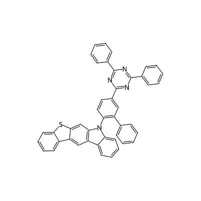 c1ccc(-c2nc(-c3ccccc3)nc(-c3ccc(-n4c5ccccc5c5cc6c(cc54)sc4ccccc46)c(-c4ccccc4)c3)n2)cc1